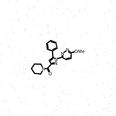 COc1ccc(-n2nc(C(=O)N3CCCCC3)cc2-c2ccccc2)nn1